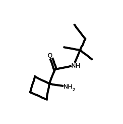 CCC(C)(C)NC(=O)C1(N)CCC1